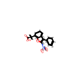 CC(C)(C(=O)O)c1cccc2c(-c3ccccc3)c([N+](=O)[O-])oc12